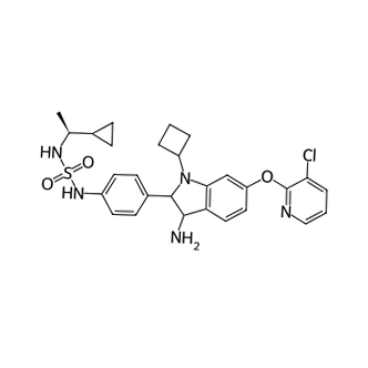 C[C@H](NS(=O)(=O)Nc1ccc(C2C(N)c3ccc(Oc4ncccc4Cl)cc3N2C2CCC2)cc1)C1CC1